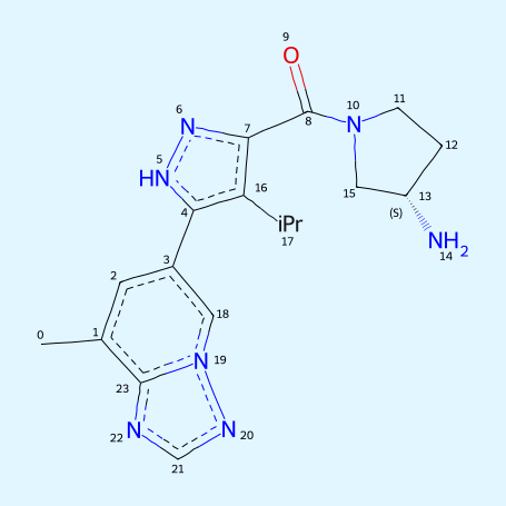 Cc1cc(-c2[nH]nc(C(=O)N3CC[C@H](N)C3)c2C(C)C)cn2ncnc12